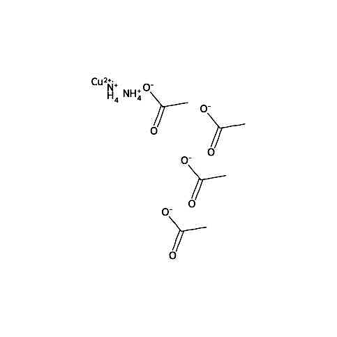 CC(=O)[O-].CC(=O)[O-].CC(=O)[O-].CC(=O)[O-].[Cu+2].[NH4+].[NH4+]